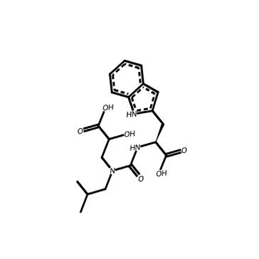 CC(C)CN(CC(O)C(=O)O)C(=O)N[C@@H](Cc1cc2ccccc2[nH]1)C(=O)O